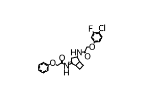 O=C(COc1ccc(Cl)c(F)c1)NC1C[C@H](NC(=O)COc2ccccc2)C2CCC12